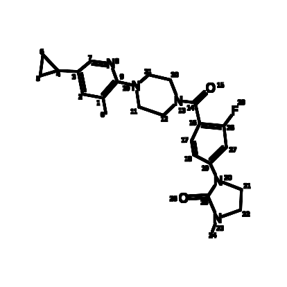 Cc1cc(C2CC2)cnc1N1CCN(C(=O)c2ccc(N3CCN(C)C3=O)cc2F)CC1